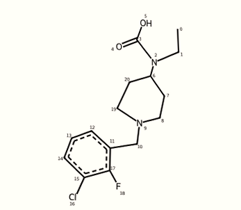 CCN(C(=O)O)C1CCN(Cc2cccc(Cl)c2F)CC1